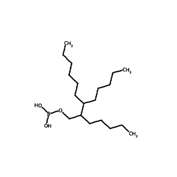 CCCCCCC(CCCCC)C(CCCCC)COB(O)O